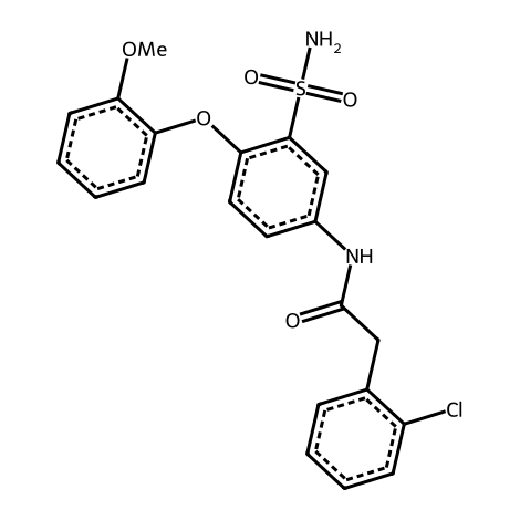 COc1ccccc1Oc1ccc(NC(=O)Cc2ccccc2Cl)cc1S(N)(=O)=O